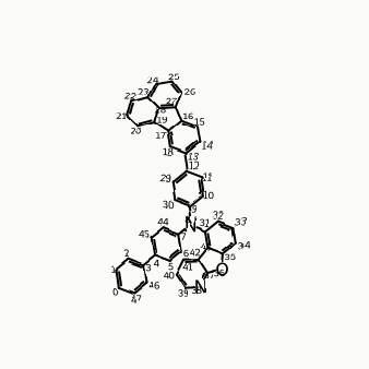 c1ccc(-c2ccc(N(c3ccc(-c4ccc5c(c4)-c4cccc6cccc-5c46)cc3)c3cccc4oc5ncccc5c34)cc2)cc1